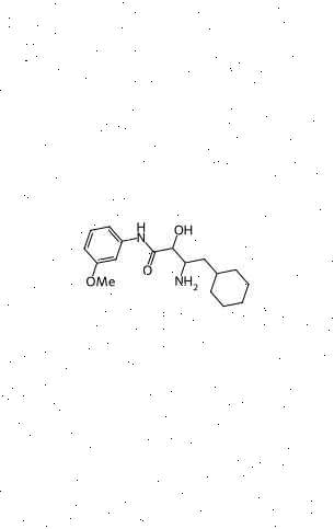 COc1cccc(NC(=O)C(O)C(N)CC2CCCCC2)c1